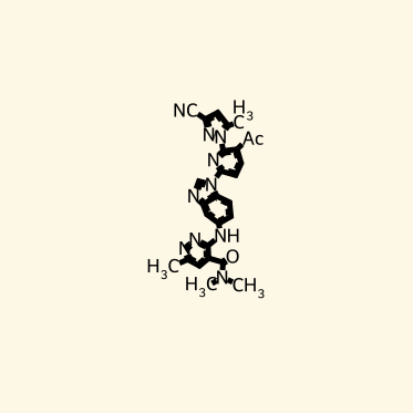 CC(=O)c1ccc(-n2cnc3cc(Nc4nnc(C)cc4C(=O)N(C)C)ccc32)nc1-n1nc(C#N)cc1C